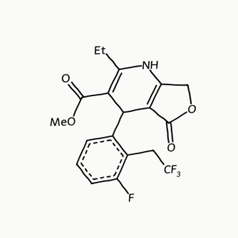 CCC1=C(C(=O)OC)C(c2cccc(F)c2CC(F)(F)F)C2=C(COC2=O)N1